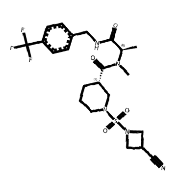 C[C@H](C(=O)NCc1ccc(C(F)(F)F)cc1)N(C)C(=O)[C@H]1CCCN(S(=O)(=O)N2CC(C#N)C2)C1